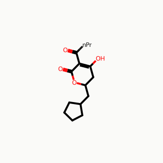 CCCC(=O)C1=C(O)CC(CC2CCCC2)OC1=O